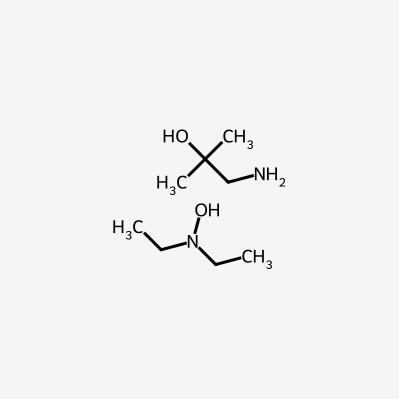 CC(C)(O)CN.CCN(O)CC